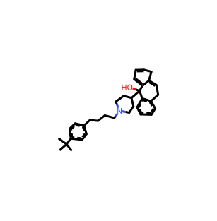 CC(C)(C)c1ccc(CCCCN2CCC(C3(O)C4=CC=CCC4=CCc4ccccc43)CC2)cc1